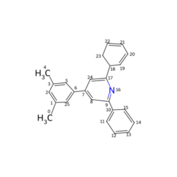 Cc1cc(C)cc(-c2cc(-c3ccccc3)nc(C3C=CC=CC3)c2)c1